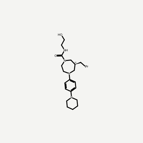 CC(C)C[C@@H]1CN(C(=O)NCCO)CCN(c2ccc(N3CCCCC3)cc2)C1